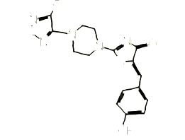 O=C1N=C(N2CCN(c3nsnc3Cl)CC2)S/C1=C\c1ccc(C(F)(F)F)cc1